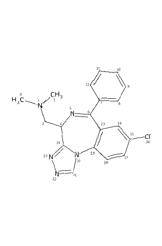 CN(C)CC1N=C(c2ccccc2)c2cc(Cl)ccc2-n2cnnc21